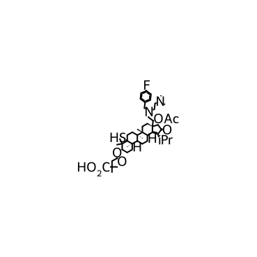 CC(=O)O[C@H](CN(CCN(C)C)Cc1ccc(F)cc1)[C@@]12CC[C@]3(C)[C@H](CC[C@@H]4[C@@]5(C)CC[C@H](OC(=O)CC(C)(C)C(=O)O)C(C)(C)C5(S)CC[C@]43C)C1=C(C(C)C)C(=O)C2